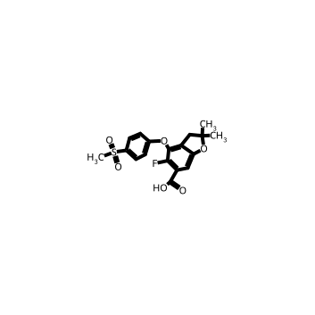 CC1(C)Cc2c(cc(C(=O)O)c(F)c2Oc2ccc(S(C)(=O)=O)cc2)O1